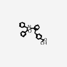 O=C(O)c1ccc(CC2=C(c3nc(-c4ccccc4)c(-c4ccccc4)o3)C3CCC2C3)cc1